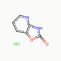 Cl.O=c1[nH]c2ncccc2o1